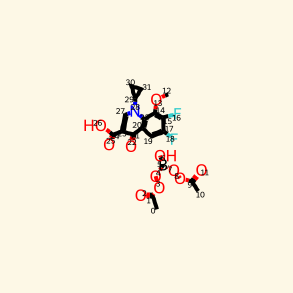 CC(=O)OOB(O)OOC(C)=O.COc1c(F)c(F)cc2c(=O)c(C(=O)O)cn(C3CC3)c12